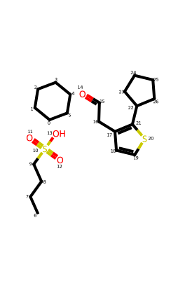 C1CCCCC1.CCCCS(=O)(=O)O.O=CCc1ccsc1C1CCCC1